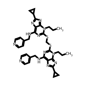 CCCn1c(SCSc2nc(NCc3ccncc3)c3nc(C4CC4)nc-3n2CCC)nc(NCc2ccncc2)c2nc(C3CC3)nc1-2